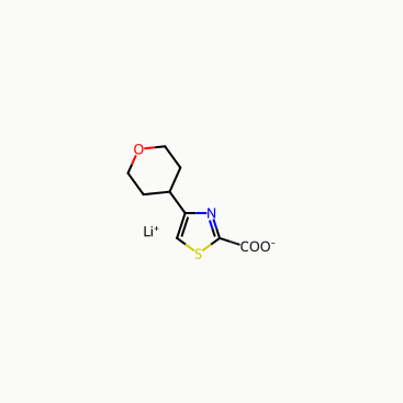 O=C([O-])c1nc(C2CCOCC2)cs1.[Li+]